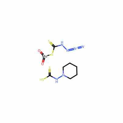 S=C(S)NN1CCCCC1.[N-]=[N+]=NNC(=S)[S][Mo](=[O])=[O]